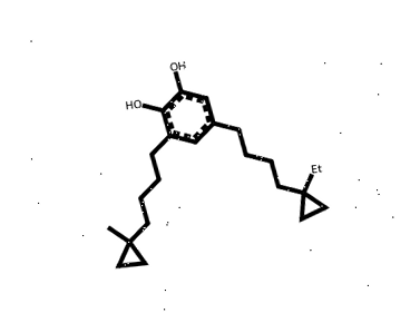 CCC1(CCCCc2cc(O)c(O)c(CCCCC3(C)CC3)c2)CC1